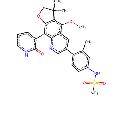 COc1c2c(c(-c3ccc[nH]c3=O)c3ncc(-c4ccc(NS(C)(=O)=O)cc4C)cc13)OCC2(C)C